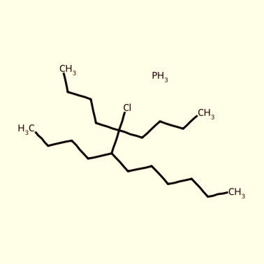 CCCCCCC(CCCC)C(Cl)(CCCC)CCCC.P